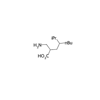 CCCCC(CC(CN)C(=O)O)C(C)C